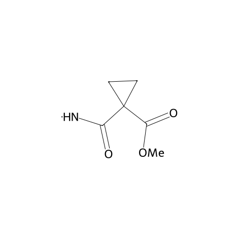 COC(=O)C1(C([NH])=O)CC1